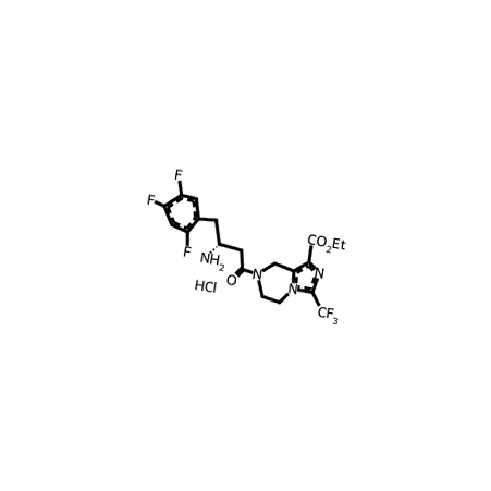 CCOC(=O)c1nc(C(F)(F)F)n2c1CN(C(=O)C[C@H](N)Cc1cc(F)c(F)cc1F)CC2.Cl